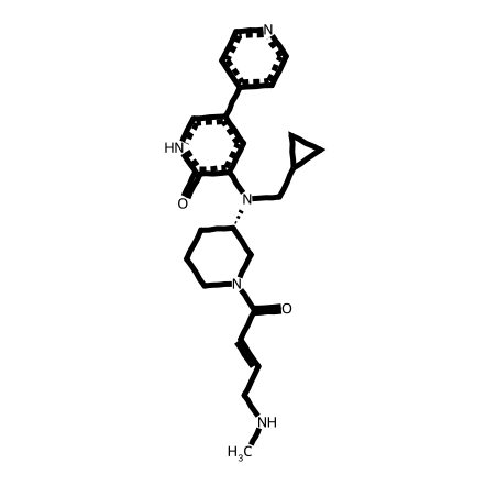 CNC/C=C/C(=O)N1CCC[C@H](N(CC2CC2)c2cc(-c3ccncc3)c[nH]c2=O)C1